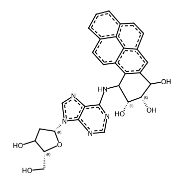 OC[C@H]1O[C@@H](n2cnc3c(NC4c5c(cc6ccc7cccc8ccc5c6c78)C(O)[C@H](O)[C@@H]4O)ncnc32)CC1O